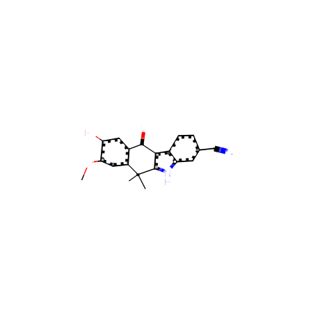 COc1cc2c(cc1O)C(=O)c1c([nH]c3cc(C#N)ccc13)C2(C)C